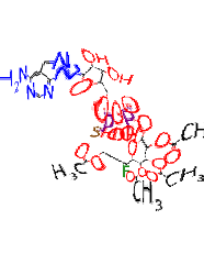 CC(=O)OC[C@H](F)C1OC(OP(=O)(O)OP(O)(=S)OCC2OC(n3ncc4c(N)ncnc43)C(O)C2O)C(OC(C)=O)C(OC(C)=O)C1OC(C)=O